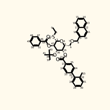 CCS[C@@H]1O[C@H](COCc2ccc3ccccc3c2)[C@H](OC(=O)c2ccc(-c3ccccc3C)cc2)[C@H](OC(C)(C)C)[C@H]1OC(=O)c1ccccc1